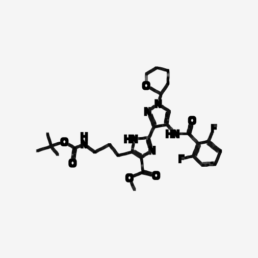 COC(=O)c1nc(-c2nn(C3CCCCO3)cc2NC(=O)c2c(F)cccc2F)[nH]c1CCCNC(=O)OC(C)(C)C